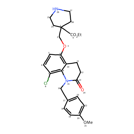 CCOC(=O)C1(COc2ccc(Cl)c3c2CCC(=O)N3Cc2ccc(OC)cc2)CCNCC1